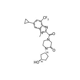 Cn1c(C(=O)N2CCN([C@@H]3CC[C@@H](O)C3)C(=O)C2)nc2c(C(F)(F)F)cc(C3CC3)cc21